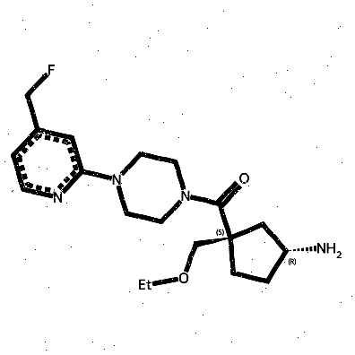 CCOC[C@]1(C(=O)N2CCN(c3cc(CF)ccn3)CC2)CC[C@@H](N)C1